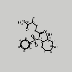 CC(C[CH]C(=O)N(C1CCCNC[C@@H]1O)S(=O)(=O)c1ccccc1)C(N)=O